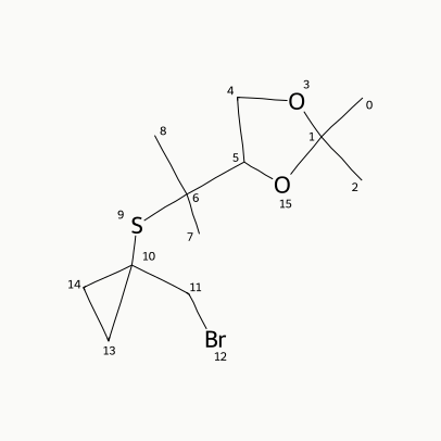 CC1(C)OCC(C(C)(C)SC2(CBr)CC2)O1